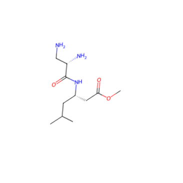 COC(=O)C[C@H](CC(C)C)NC(=O)[C@@H](N)CN